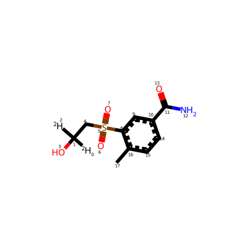 [2H]C([2H])(O)CS(=O)(=O)c1cc(C(N)=O)ccc1C